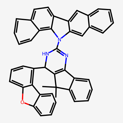 CC1(C)C2=C(N=C(n3c4cc5ccccc5cc4c4ccc5ccccc5c43)NC2c2cccc3oc4ccccc4c23)c2ccccc21